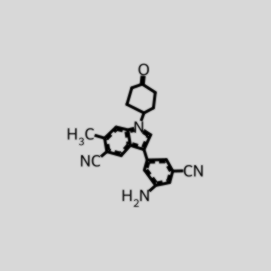 Cc1cc2c(cc1C#N)c(-c1cc(N)cc(C#N)c1)cn2C1CCC(=O)CC1